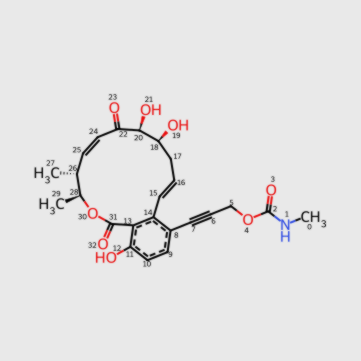 CNC(=O)OCC#Cc1ccc(O)c2c1/C=C/C[C@H](O)[C@H](O)C(=O)/C=C\[C@@H](C)[C@H](C)OC2=O